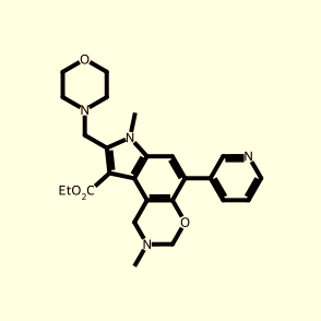 CCOC(=O)c1c(CN2CCOCC2)n(C)c2cc(-c3cccnc3)c3c(c12)CN(C)CO3